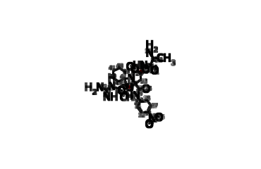 COC(=O)C1(N(C(=O)CNC(=O)[C@H](C)N)[C@](CCCNC(=N)N)(CC(=O)O)C(=O)Nc2ccc([N+](=O)[O-])cc2)CCCCC1